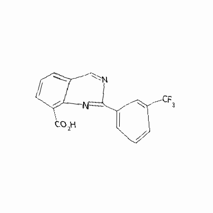 O=C(O)c1cccc2cnc(-c3cccc(C(F)(F)F)c3)nc12